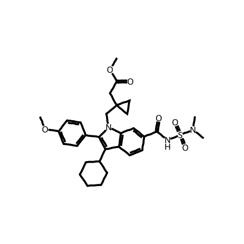 COC(=O)CC1(Cn2c(-c3ccc(OC)cc3)c(C3CCCCC3)c3ccc(C(=O)NS(=O)(=O)N(C)C)cc32)CC1